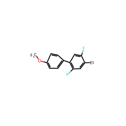 CCc1cc(F)c(-c2ccc(OC(F)(F)F)cc2)cc1F